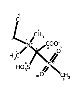 C[N+](C)(CCl)C(C(=O)[O-])(S(C)(=O)=O)S(=O)(=O)O